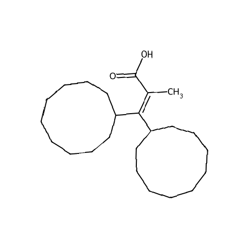 CC(C(=O)O)=C(C1CCCCCCCCC1)C1CCCCCCCCC1